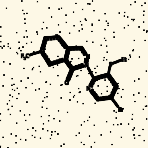 CCSc1cc(Br)cnc1-n1ncc2ccc(C(F)(F)F)cc2c1=O